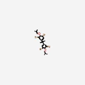 CC(C)=COc1c(Br)cc(C(C)(C)c2cc(Br)c(OC=C(C)C)c(Br)c2)cc1Br